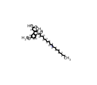 CCCCCCCC/C=C/CCCCCCCC(=O)n1c(C)c(CC(=O)O)c2cc(OC)ccc21